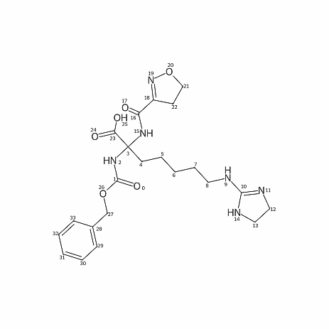 O=C(NC(CCCCCNC1=NCCN1)(NC(=O)C1=NOCC1)C(=O)O)OCc1ccccc1